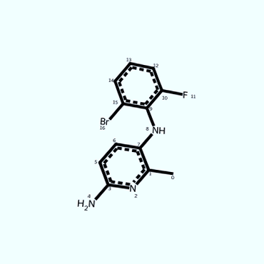 Cc1nc(N)ccc1Nc1c(F)cccc1Br